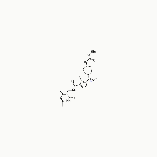 C/C=C(/c1scc(C(=O)NCc2c(C)cc(C)[nH]c2=O)c1C)[C@H]1CC[C@H](NC(=O)OC(C)(C)C)CC1